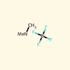 CNC.F[B-](F)(F)F